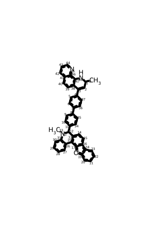 CC1C=C(c2ccc(-c3ccc(C4c5ccc6c(oc7ccccc76)c5-c5ccccc5N4C)cc3)cc2)c2ccc3cccnc3c2N1